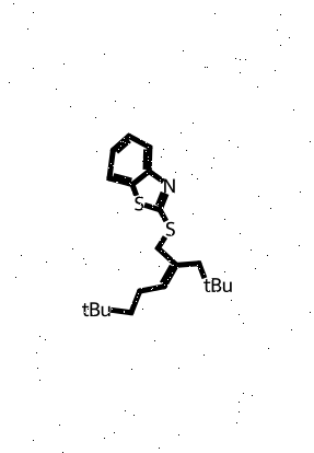 CC(C)(C)CC/C=C(\CSc1nc2ccccc2s1)CC(C)(C)C